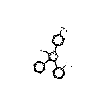 Cc1ccc(-n2nc(-c3ccccc3C)c(-c3ccccc3)c2O)cc1